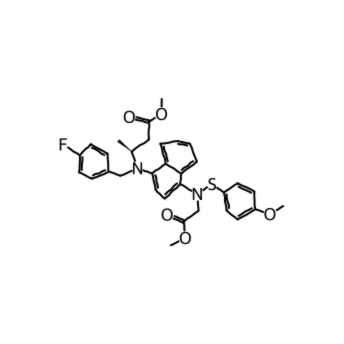 COC(=O)C[C@H](C)N(Cc1ccc(F)cc1)c1ccc(N(CC(=O)OC)Sc2ccc(OC)cc2)c2ccccc12